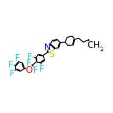 C=CCCC1=CCC(c2ccc3nc(-c4cc(F)c(C(F)(F)Oc5cc(F)c(F)c(F)c5)c(F)c4)sc3c2)CC1